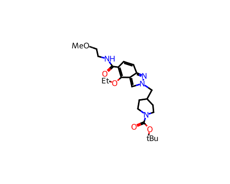 CCOc1c(C(=O)NCCOC)ccc2nn(CC3CCN(C(=O)OC(C)(C)C)CC3)cc12